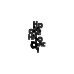 CC(=O)c1c(I)cccc1C(=O)NC1CCC(=O)NC1=O